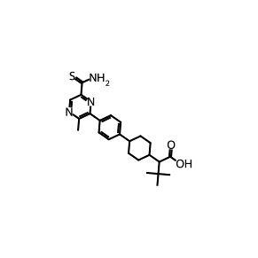 Cc1ncc(C(N)=S)nc1-c1ccc(C2CCC(C(C(=O)O)C(C)(C)C)CC2)cc1